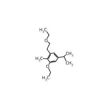 CCOCCc1cc(C(C)C)cc(OCC)c1C